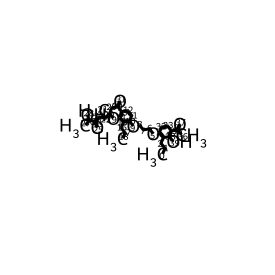 CCCc1c(OCCCOc2ccc3c(c2CCC)OC(C)(CCC(=O)C(C)O)CC3=O)ccc(C(C)=O)c1O